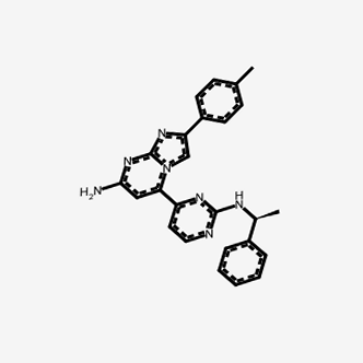 Cc1ccc(-c2cn3c(-c4ccnc(N[C@@H](C)c5ccccc5)n4)cc(N)nc3n2)cc1